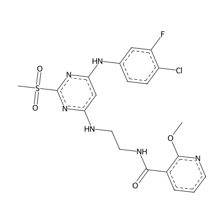 COc1ncccc1C(=O)NCCNc1cc(Nc2ccc(Cl)c(F)c2)nc(S(C)(=O)=O)n1